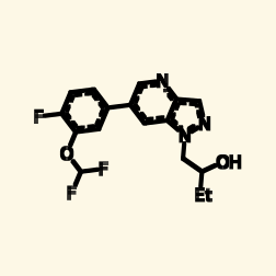 CCC(O)Cn1ncc2ncc(-c3ccc(F)c(OC(F)F)c3)cc21